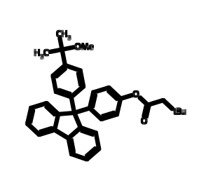 COC(C)(C)c1ccc(C2(c3ccc(OC(=O)CC(C)(C)C)cc3)c3ccccc3-c3ccccc32)cc1